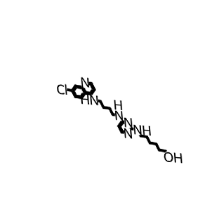 OCCCCCCNc1nccc(NCCCCNc2ccnc3cc(Cl)ccc23)n1